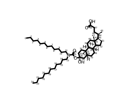 CCCCCCCCCCCCN(CCCCCCCCCCCC)C(=O)O[C@@]1(O)CC[C@@]2(C)[C@H](CC[C@@H]3[C@@H]2CC[C@]2(C)[C@@H]([C@H](C)CCC(=O)O)CC[C@@H]32)C1